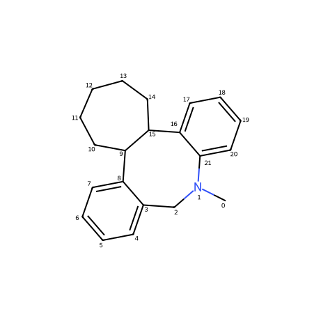 CN1Cc2ccccc2C2CCCCCC2c2ccccc21